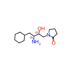 N[C@@H](CC1CCCCC1)[C@@H](O)CN1CCCC1=O